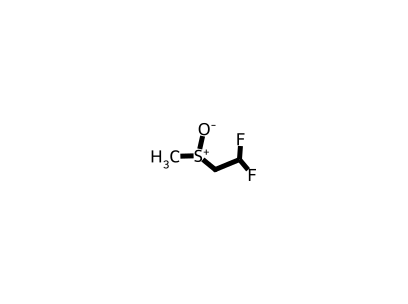 C[S+]([O-])CC(F)F